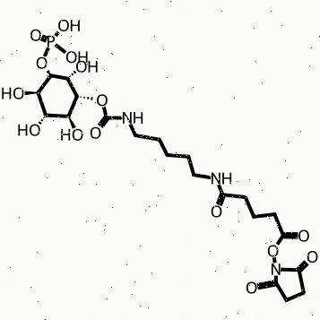 O=C(CCCC(=O)ON1C(=O)CCC1=O)NCCCCCNC(=O)O[C@H]1[C@@H](O)[C@@H](OP(=O)(O)O)[C@H](O)[C@@H](O)[C@@H]1O